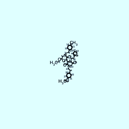 CCOC(=O)CN(CCc1ccc(C)cc1)C(=O)CC1C(=O)N(CCc2ccc(OC)cc2)CC(=O)N1CCc1cccs1